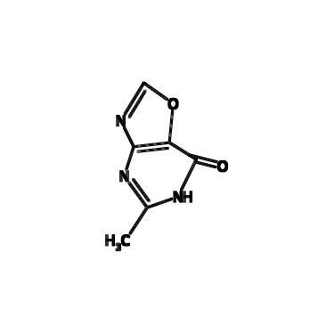 Cc1nc2ncoc2c(=O)[nH]1